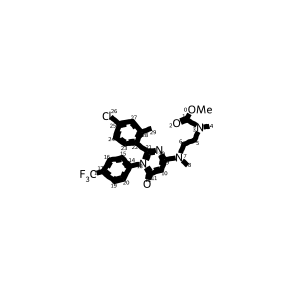 COC(=O)N(C)CCN(C)c1cc(=O)n(-c2ccc(C(F)(F)F)cc2)c(-c2ccc(Cl)cc2C)n1